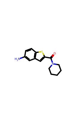 Nc1ccc2sc(C(=O)N3CCCCC3)cc2c1